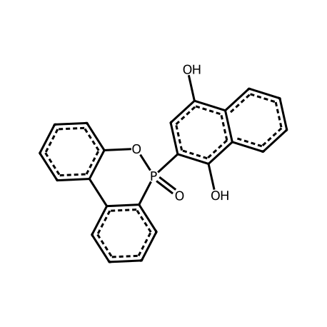 O=P1(c2cc(O)c3ccccc3c2O)Oc2ccccc2-c2ccccc21